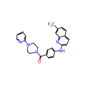 O=C(c1ccc(Nc2ccc3ccc(C(F)(F)F)cc3n2)cc1)N1CCN(c2ccccn2)CC1